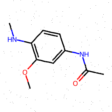 CNc1ccc(NC(C)=O)cc1OC